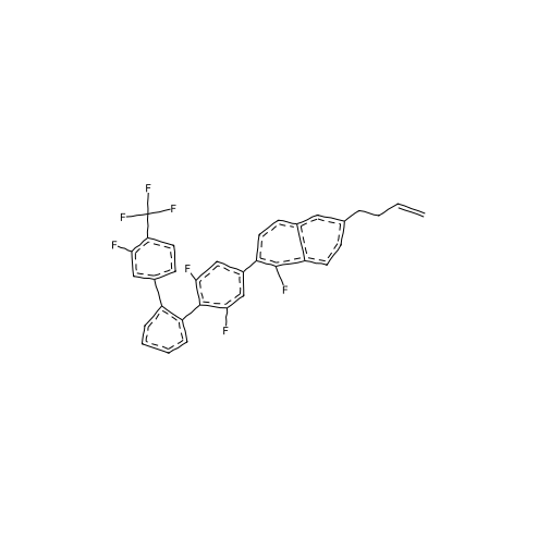 C=CCCc1ccc2c(F)c(-c3cc(F)c(-c4ccccc4-c4ccc(C(F)(F)F)c(F)c4)c(F)c3)ccc2c1